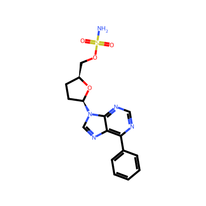 NS(=O)(=O)OC[C@@H]1CC[C@H](n2cnc3c(-c4ccccc4)ncnc32)O1